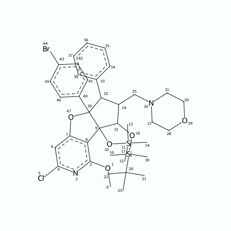 COc1nc(Cl)cc2c1C1(O[Si](C)(C)C)C(O[Si](C)(C)C(C)(C)C)C(CN3CCOCC3)C(c3ccccc3)C1(c1ccc(Br)cc1)O2